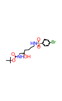 CC(C)(C)OC(=O)NC[C@H](O)CCCCNS(=O)(=O)c1ccc(Br)cc1